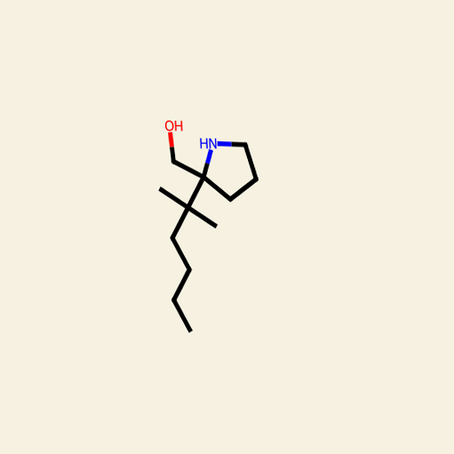 CCCCC(C)(C)C1(CO)CCCN1